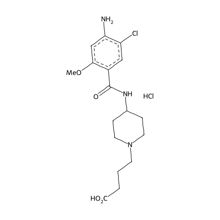 COc1cc(N)c(Cl)cc1C(=O)NC1CCN(CCCC(=O)O)CC1.Cl